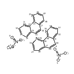 O=[N+]([O-])[O-].O=[N+]([O-])[O-].[Cu+2].c1cnc2c(c1)ccc1cccnc12.c1cnc2c(c1)ccc1cccnc12